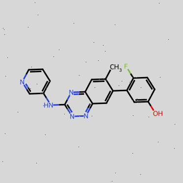 Cc1cc2nc(Nc3cccnc3)nnc2cc1-c1cc(O)ccc1F